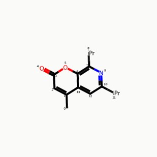 Cc1cc(=O)oc2c(C(C)C)nc(C(C)C)cc12